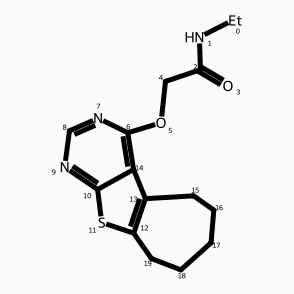 CCNC(=O)COc1ncnc2sc3c(c12)CCCCC3